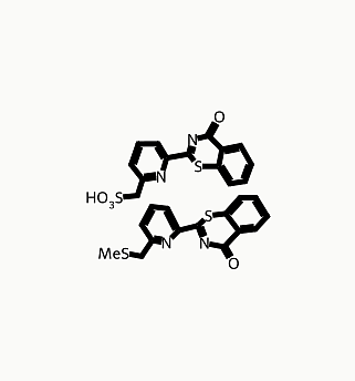 CSCc1cccc(-c2nc(=O)c3ccccc3s2)n1.O=c1nc(-c2cccc(CS(=O)(=O)O)n2)sc2ccccc12